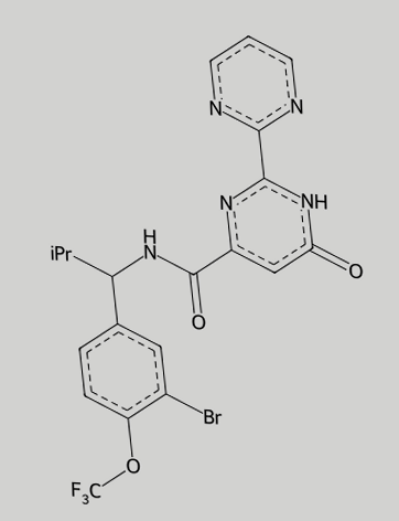 CC(C)C(NC(=O)c1cc(=O)[nH]c(-c2ncccn2)n1)c1ccc(OC(F)(F)F)c(Br)c1